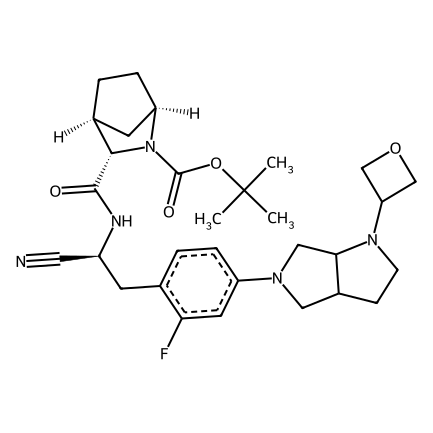 CC(C)(C)OC(=O)N1[C@@H]2CC[C@@H](C2)[C@H]1C(=O)N[C@H](C#N)Cc1ccc(N2CC3CCN(C4COC4)C3C2)cc1F